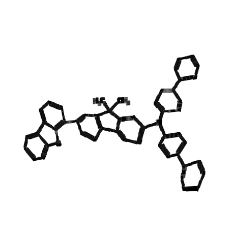 CC1(C)c2cc(-c3cccc4c3oc3ccccc34)ccc2-c2ccc(N(c3ccc(-c4ccccc4)cc3)c3ccc(-c4ccccc4)cc3)cc21